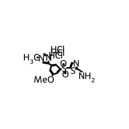 COc1cc(-c2cn(C)cn2)cc(S(=O)(=O)c2cnc(CN)s2)c1.Cl.Cl.Cl